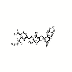 CC/C(C)=C1/C=CC(c2cnc3c(c2)C(=O)N(Cc2cc(F)cc(F)c2OC2CCOC2)CC3)=NN1/C=C(\C)NC